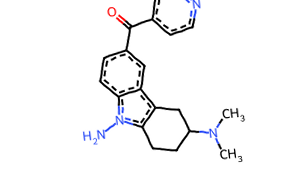 CN(C)C1CCc2c(c3cc(C(=O)c4ccncc4)ccc3n2N)C1